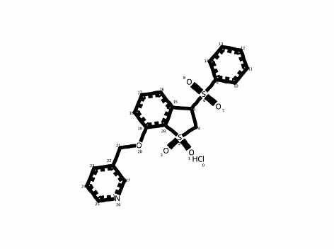 Cl.O=S1(=O)CC(S(=O)(=O)c2ccccc2)c2cccc(OCc3cccnc3)c21